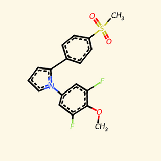 COc1c(F)cc(-n2cccc2-c2ccc(S(C)(=O)=O)cc2)cc1F